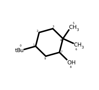 CC(C)(C)C1CCC(C)(C)C(O)C1